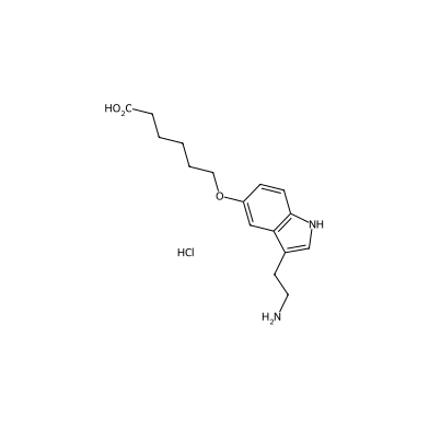 Cl.NCCc1c[nH]c2ccc(OCCCCCC(=O)O)cc12